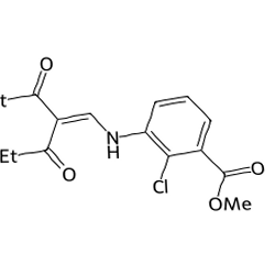 CCC(=O)C(=CNc1cccc(C(=O)OC)c1Cl)C(=O)CC